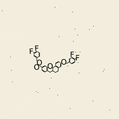 O=C(OCc1ccc(F)c(F)c1)c1ccc(CC2CCc3cc(OCc4ccc(F)c(F)c4)ccc3C2=O)cc1